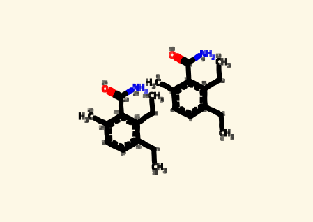 CCc1ccc(C)c(C(N)=O)c1CC.CCc1ccc(C)c(C(N)=O)c1CC